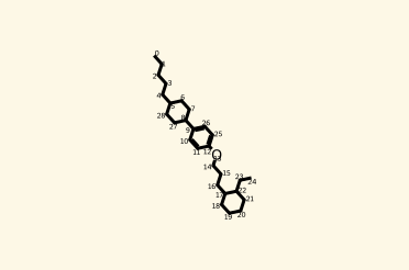 CCCCCC1CCC(c2ccc(OCCCC3CCCCC3CC)cc2)CC1